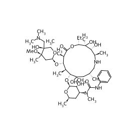 CC[C@H]1OC(=O)[C@H](C)[C@@H](O[C@H]2C[C@@](C)(OC)[C@](O)(CN(C)C)[C@H](C)O2)[C@H](C)[C@@H](O[C@@H]2O[C@H](C)C[C@H](N(C)C(=O)Nc3ccccc3)[C@H]2O)[C@](C)(O)C[C@@H](C)CN[C@H](C)[C@@H](O)[C@]1(C)O